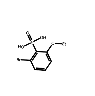 CCOc1cccc(Br)c1P(=O)(O)O